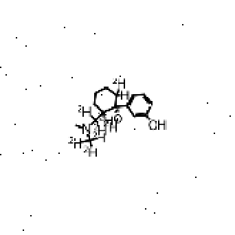 [2H]O[C@@]1(c2cccc(O)c2)C([2H])([2H])CCC[C@@]1([2H])C([2H])([2H])N(C)C([2H])([2H])[2H]